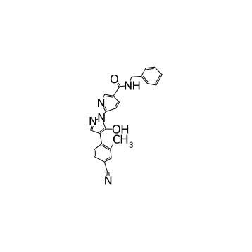 Cc1cc(C#N)ccc1-c1cnn(-c2ccc(C(=O)NCc3ccccc3)cn2)c1O